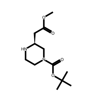 COC(=O)C[C@H]1CN(C(=O)OC(C)(C)C)CCN1